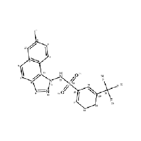 Cc1ccc2c(ccc3cnn(NS(=O)(=O)C4=CCCC(C(F)(F)F)=C4)c32)c1